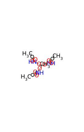 Cc1ccc(S(=O)(=O)NCCOCC(C)(COCCNS(=O)(=O)c2ccc(C)cc2)COCCNS(=O)(=O)c2ccc(C)cc2)cc1